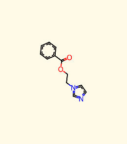 O=C(OCCn1ccnc1)c1ccccc1